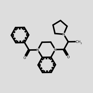 CC(C(=O)N1CCN(C(=O)c2ccccc2)c2ccccc21)N1CCCC1